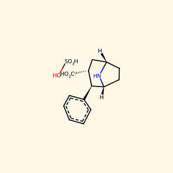 O=C(O)[C@@H]1C[C@@H]2CC[C@@H](N2)[C@H]1c1ccccc1.O=S(=O)(O)O